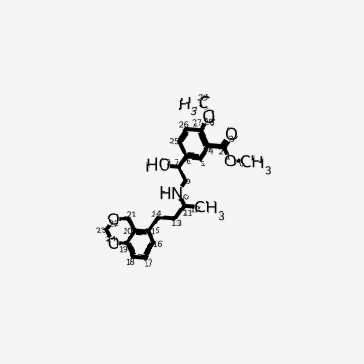 COC(=O)c1cc(C(O)CNC(C)CCc2cccc3c2COCO3)ccc1OC